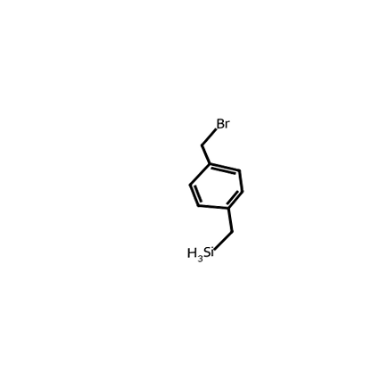 [SiH3]Cc1ccc(CBr)cc1